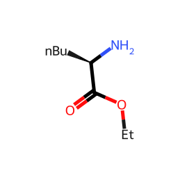 CCCC[C@@H](N)C(=O)OCC